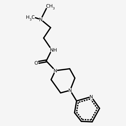 CN(C)CCNC(=O)N1CCN(c2ccccn2)CC1